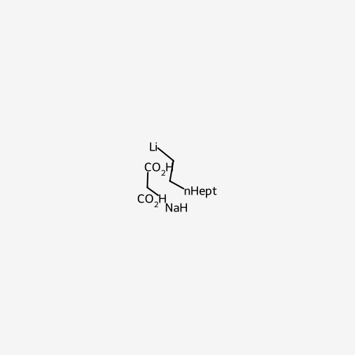 O=C(O)CC(=O)O.[Li][CH2]CCCCCCCC.[NaH]